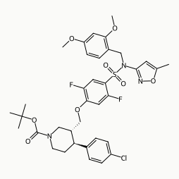 COc1ccc(CN(c2cc(C)on2)S(=O)(=O)c2cc(F)c(OC[C@H]3CN(C(=O)OC(C)(C)C)CC[C@@H]3c3ccc(Cl)cc3)cc2F)c(OC)c1